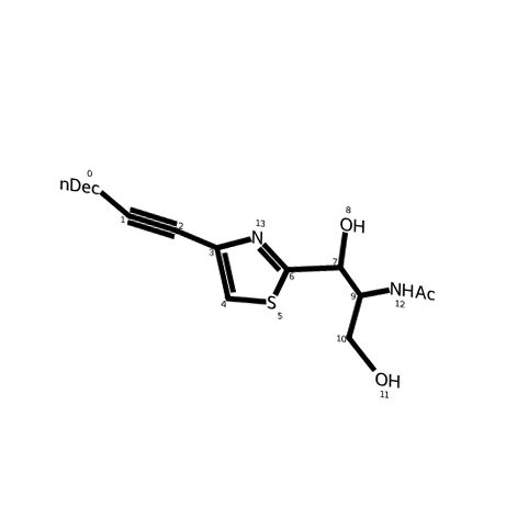 CCCCCCCCCCC#Cc1csc(C(O)C(CO)NC(C)=O)n1